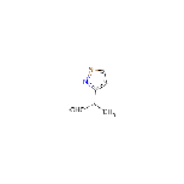 CC([C]=O)c1ccsn1